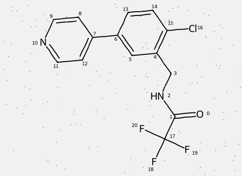 O=C(NCc1cc(-c2ccncc2)ccc1Cl)C(F)(F)F